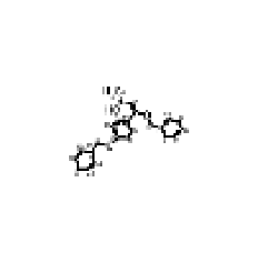 CC(O)C=C(OCc1ccccc1)c1ccc(OCc2ccccc2)cc1